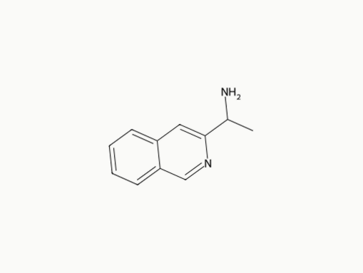 CC(N)c1cc2ccccc2cn1